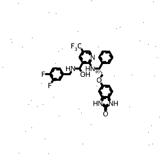 O=c1[nH]c2ccc(OC[C@H](Nc3ncc(C(F)(F)F)cc3C(O)NCc3ccc(F)c(F)c3)c3ccccc3)cc2[nH]1